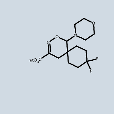 CCOC(=O)C1=NOC(N2CCOCC2)C2(CCC(F)(F)CC2)C1